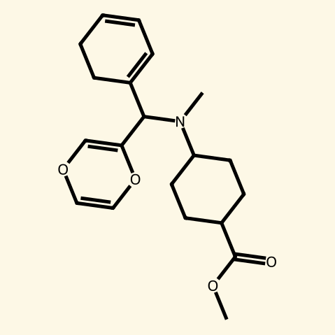 COC(=O)C1CCC(N(C)C(C2=CC=CCC2)C2=COC=CO2)CC1